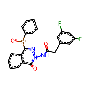 O=C(Cc1cc(F)cc(F)c1)Nn1nc([S+]([O-])c2ccccc2)c2ccccc2c1=O